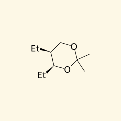 CC[C@H]1COC(C)(C)O[C@H]1CC